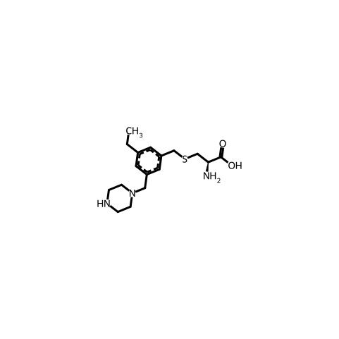 CCc1cc(CSC[C@H](N)C(=O)O)cc(CN2CCNCC2)c1